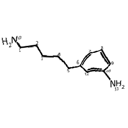 NCCCCCc1cccc(N)c1